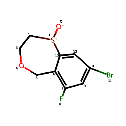 [O-][S+]1CCOCc2c(F)cc(Br)cc21